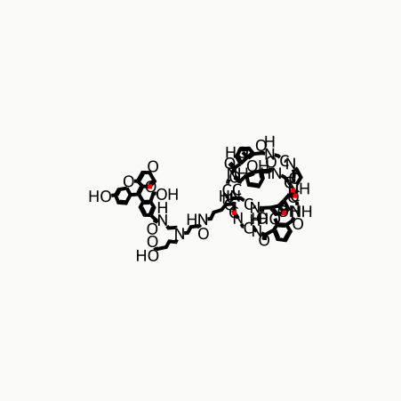 O=C1C=CC2=C(c3ccc(C(=O)NCCN(CCCC(=O)O)CCC(=O)NCCCCC4CN5CCNC(=O)c6cccc(c6O)C(=O)NCCN(CCNC(=O)c6cccc(c6O)C(=O)CN4)CCN4CCNC(=O)c6cccc(c6O)C(=O)NCCN(CCNC(=O)c6cccc(c6O)C(=O)NCC4)CC5)cc3C(=O)O)C3C=CC(O)=CC3OC2=C1